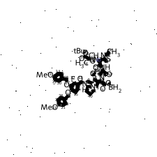 BOC(=O)C1=C(C[N+]2(CCNC(=O)c3ccc(OCc4ccc(OC)cc4)c(OCc4ccc(OC)cc4)c3F)CCCC2)C[S+]([O-])[C@@H]2[C@H](NC(=O)/C(=N\OC(C)(C)C(=O)OC(C)(C)C)c3csc(C)n3)C(=O)N12